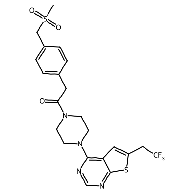 CS(=O)(=O)Cc1ccc(CC(=O)N2CCN(c3ncnc4sc(CC(F)(F)F)cc34)CC2)cc1